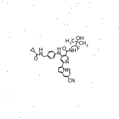 CC(C)(O)C(F)CNC(=O)c1cnc(-c2ccc3cc(C#N)cnn23)cc1Nc1ccc(CNC(=O)C2CC2)cc1